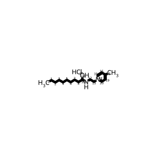 CCCCCCCCCC(O)NCC[n+]1ccc(C)cc1.Cl